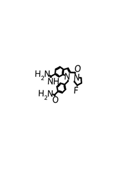 N=C(N)c1ccc2cc(C(=O)N3CC[C@H](F)C3)n(Cc3ccc(C(N)=O)cc3)c2c1